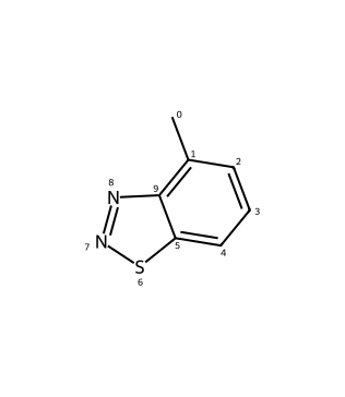 Cc1cccc2snnc12